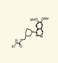 CCNC(=O)OCC1CCCN(c2nncc3cc(OC)c(OC)cc23)C1